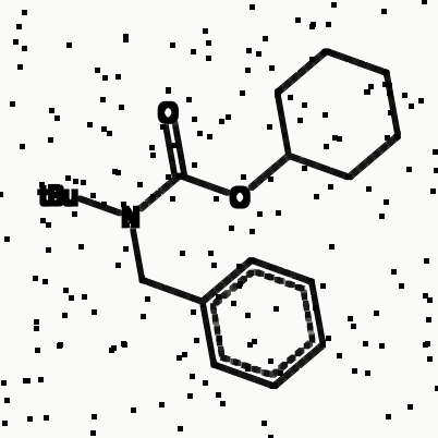 CC(C)(C)N(Cc1ccccc1)C(=O)OC1CCCCC1